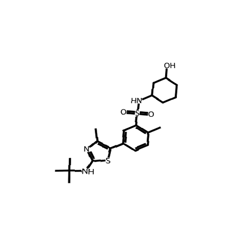 Cc1ccc(-c2sc(NC(C)(C)C)nc2C)cc1S(=O)(=O)NC1CCCC(O)C1